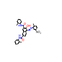 Cc1ccc([N+](=O)[O-])cc1N=Nc1c(O)c(C(=O)Nc2ccccc2C)cc2cc(C(=O)Nc3ccccc3C)ccc12